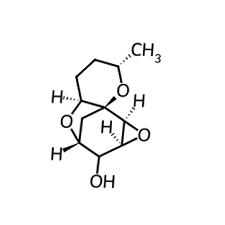 C[C@H]1CC[C@@H]2O[C@@H]3C[C@@]2(O1)[C@H]1O[C@H]1C3O